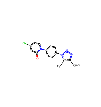 O=Cc1nnn(-c2ccc(-n3ccc(Cl)cc3=O)cc2)c1C(F)(F)F